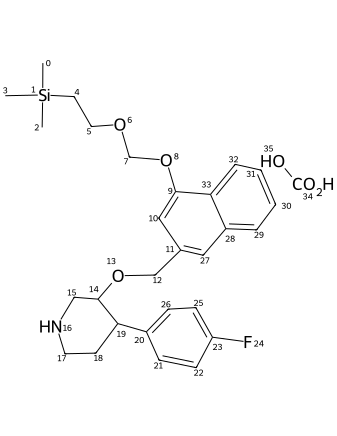 C[Si](C)(C)CCOCOc1cc(COC2CNCCC2c2ccc(F)cc2)cc2ccccc12.O=C(O)O